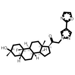 C[C@@]1(O)CC[C@@]2(F)[C@H](CC[C@H]3[C@@H]4CC[C@H](C(=O)Cn5cc(-c6ncco6)cn5)[C@@]4(C)CC[C@@H]32)C1